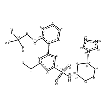 CCc1cc(-c2cccnc2OCC(F)(F)F)cc(S(=O)(=O)N[C@H]2CCC[C@@H](n3cnnc3)C2)c1